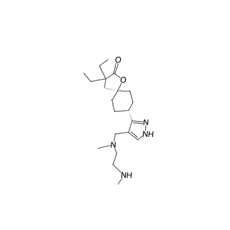 CCC1(CC)C[C@]2(CC[C@@H](c3n[nH]cc3CN(C)CCNC)CC2)OC1=O